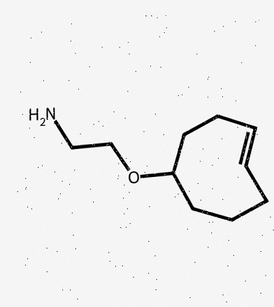 NCCOC1CC/C=C/CCC1